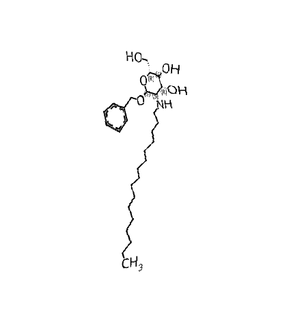 CCCCCCCCCCCCCCCCN[C@@H]1[C@@H](OCc2ccccc2)O[C@H](CO)[C@@H](O)[C@@H]1O